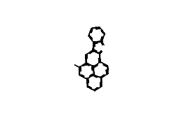 Fc1cc2cccc3ccc4c5oc6ccccc6c5cc1c4c32